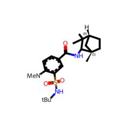 CNc1ccc(C(=O)NC2C(C)(C)[C@@H]3CC[C@@]2(C)C3)cc1S(=O)(=O)NC(C)(C)C